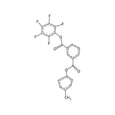 Cc1ccc(OC(=O)c2cccc(C(=O)Oc3c(F)c(F)c(F)c(F)c3F)c2)cc1